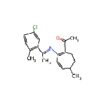 CC(=O)C1=C(/N=C(\C)c2cc(Cl)ccc2C)C=CC(C)CC1